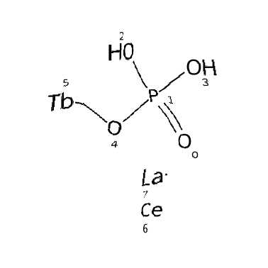 O=P(O)(O)[O][Tb].[Ce].[La]